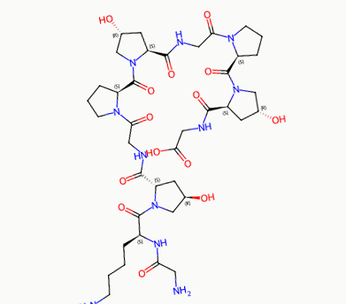 NCCCC[C@H](NC(=O)CN)C(=O)N1C[C@H](O)C[C@H]1C(=O)NCC(=O)N1CCC[C@H]1C(=O)N1C[C@H](O)C[C@H]1C(=O)NCC(=O)N1CCC[C@H]1C(=O)N1C[C@H](O)C[C@H]1C(=O)NCC(=O)O